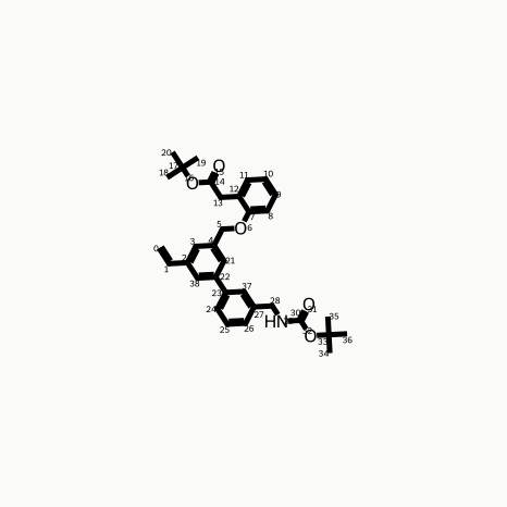 C=Cc1cc(COc2ccccc2CC(=O)OC(C)(C)C)cc(-c2cccc(CNC(=O)OC(C)(C)C)c2)c1